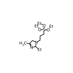 CCO[Si](CCCN1CC(C)=NC1CC)(OCC)OCC